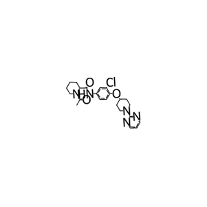 CC(=O)N1CCCCC1C(=O)Nc1ccc(OC2CCN(c3ncccn3)CC2)c(Cl)c1